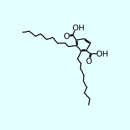 CCCCCCCCCc1c(C(=O)O)ccc(C(=O)O)c1CCCCCCCCC